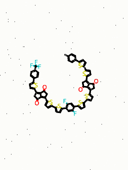 Cc1ccc(-c2ccc(-c3ccc(C4=C5C(=O)CC(c6ccc(-c7ccc(-c8cc(F)c(-c9ccc(-c%10ccc(C%11=C%12C(=O)CC(c%13ccc(-c%14ccc(C(F)(F)F)cc%14)s%13)=C%12C(=O)C%11)s%10)s9)cc8F)s7)s6)=C5C(=O)C4)s3)s2)cc1